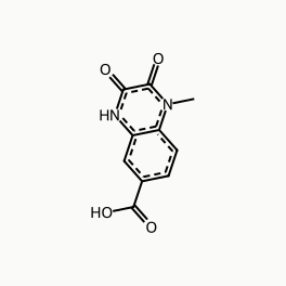 Cn1c(=O)c(=O)[nH]c2cc(C(=O)O)ccc21